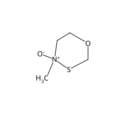 C[N+]1([O-])CCOCS1